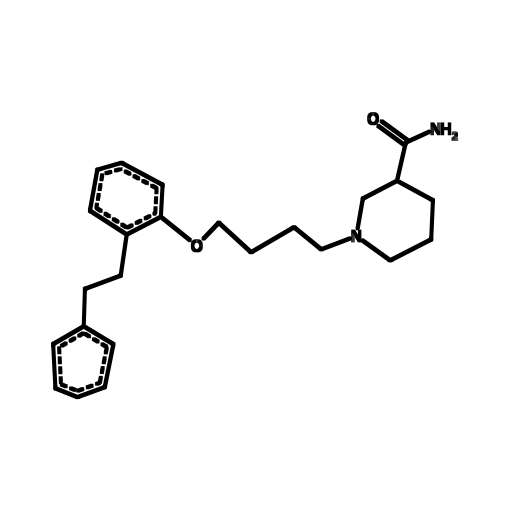 NC(=O)C1CCCN(CCCCOc2ccccc2CCc2ccccc2)C1